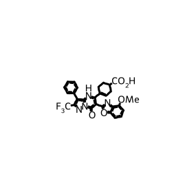 COc1cccc2oc(-c3c(C4=CCC(C(=O)O)CC4)[nH]c4c(-c5ccccc5)c(C(F)(F)F)nn4c3=O)nc12